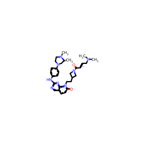 C[C@@H]1CN(c2ccc(Nc3ncc4ccc(=O)n(CCC5CN(C(=O)/C=C/CN(C)C)C5)c4n3)cc2)CCN1C